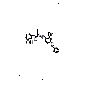 O=C(Cc1cccc(O)c1)N/N=C/c1ccc(OCc2ccccc2)cc1Br